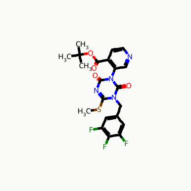 CSc1nc(=O)n(-c2cnccc2C(=O)OC(C)(C)C)c(=O)n1Cc1cc(F)c(F)c(F)c1